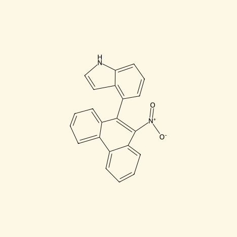 O=[N+]([O-])c1c(-c2cccc3[nH]ccc23)c2ccccc2c2ccccc12